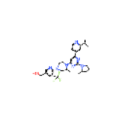 CC(C)c1cc(-c2cc(N3CCN(c4ncc(CO)cc4C(F)(F)F)CC3C)nc(N3CCCC3C)n2)ccn1